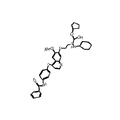 COc1cc2c(Oc3ccc(NC(=O)c4ccccc4)cc3)ccnc2cc1OCC[C@H](NC1CCCCC1)C(O)OC1CCCC1